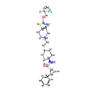 CC(F)(F)COc1nc2c(s1)CCN(CC[C@H]1CC[C@H](NC(=O)[C@@H]3C[C@H]3c3ccccc3)CC1)C2